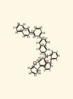 c1ccc(-c2ccccc2N(c2ccc3cc(-c4cccc(-c5ccc6ccccc6c5)c4)ccc3c2)c2ccc3c(c2)oc2ccccc23)cc1